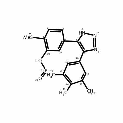 CSc1ccc(-c2[nH]nnc2-c2cc(C)c(C)c(C)c2)cc1OP=O